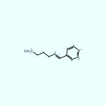 CCOC(=O)CCC/N=C/c1ccnnc1